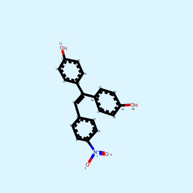 O=[N+]([O-])c1ccc(C=C(c2ccc(O)cc2)c2ccc(O)cc2)cc1